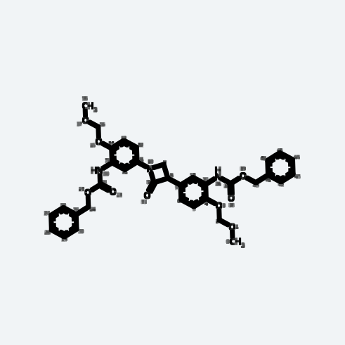 COCOc1ccc(C2CN(c3ccc(OCOC)c(NC(=O)OCc4ccccc4)c3)C2=O)cc1NC(=O)OCc1ccccc1